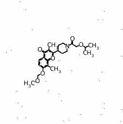 COCOc1ccc2c(=O)c(C)c(C3CCN(C(=O)COC(C)C)CC3)oc2c1C